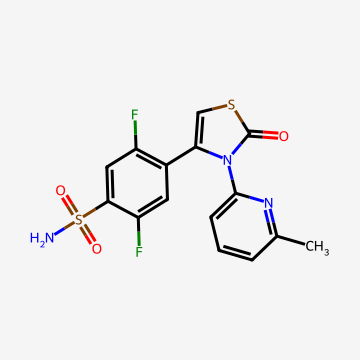 Cc1cccc(-n2c(-c3cc(F)c(S(N)(=O)=O)cc3F)csc2=O)n1